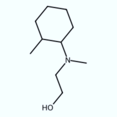 CC1CCCCC1N(C)CCO